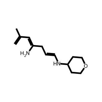 C=C(C)/C=C(\N)C/C=C/NC1CCOCC1